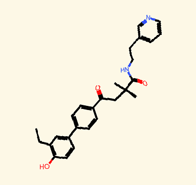 CCc1cc(-c2ccc(C(=O)CC(C)(C)C(=O)NCCc3cccnc3)cc2)ccc1O